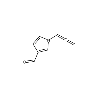 C=C=Cn1ccc(C=O)c1